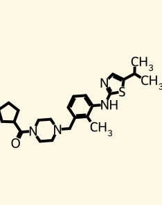 Cc1c(CN2CCN(C(=O)C3CCCC3)CC2)cccc1Nc1ncc(C(C)C)s1